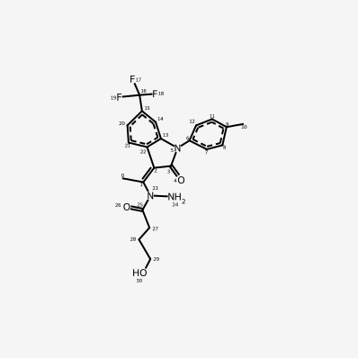 C/C(=C1/C(=O)N(c2ccc(C)cc2)c2cc(C(F)(F)F)ccc21)N(N)C(=O)CCCO